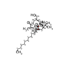 CCCCCCCCCCCCCC(=O)O[C@@]12C[C@@H](C)[C@@H]3C4C=C(C)C(=O)C4CC(CO)=C[C@H]3[C@H]1C2(C)C